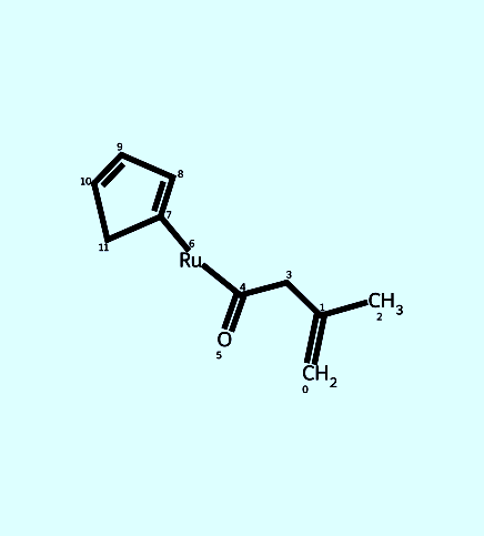 C=C(C)C[C](=O)[Ru][C]1=CC=CC1